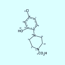 O=C(O)N1CCN(c2ccc(Cl)cc2O)CC1